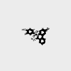 CC1c2ccccc2-c2cc(Br)ccc2N1S(=O)(=O)c1ccc(O)c(F)c1